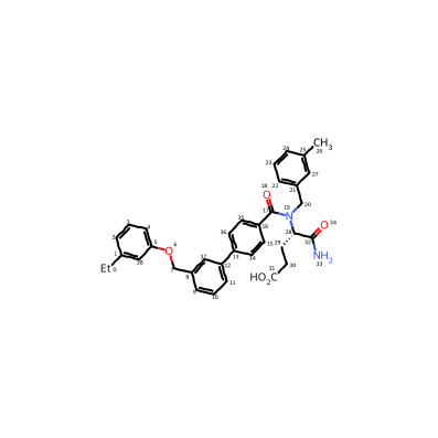 CCc1cccc(OCc2cccc(-c3ccc(C(=O)N(Cc4cccc(C)c4)[C@@H](CCC(=O)O)C(N)=O)cc3)c2)c1